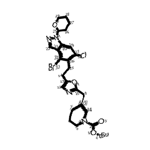 CC(C)(C)OC(=O)N1CCC[C@@H](Cc2ncc(CCc3c(Cl)cc4c(cnn4C4CCCCO4)c3Br)o2)C1